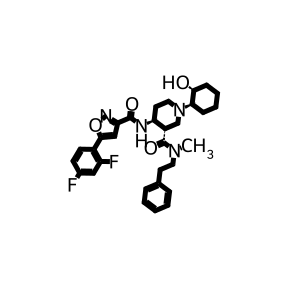 CN(CCc1ccccc1)C(=O)[C@H]1CN([C@@H]2CCCC[C@H]2O)CC[C@@H]1NC(=O)c1cc(-c2ccc(F)cc2F)on1